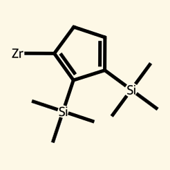 C[Si](C)(C)C1=CC[C]([Zr])=C1[Si](C)(C)C